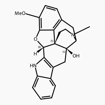 COc1ccc2c3c1O[C@H]1c4[nH]c5ccccc5c4C[C@@]4(O)C(C2)N(C)CC[C@]314